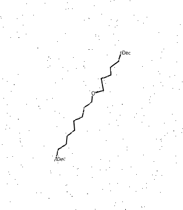 CCCCCCCCCCCCCCCCCCOCCCCCCCCCCCCCCC